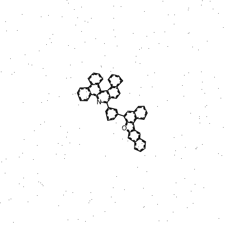 c1cc(-c2nc3c4ccccc4c4ccccc4c3c3c2ccc2ccccc23)cc(-c2cc3ccccc3c3c2oc2cc4ccccc4cc23)c1